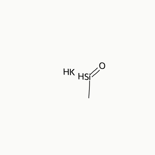 C[SiH]=O.[KH]